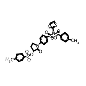 Cc1ccc(S(=O)(=O)O[C@@H]2CCN(c3ccc(S(=O)(=O)N(c4nccs4)S(=O)(=O)c4ccc(C)cc4)cc3)C2=O)cc1